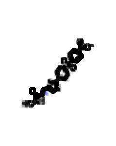 O=C(/C=C/c1cnc(N2CCN(S(=O)(=O)c3ccc([N+](=O)[O-])cc3)CC2)s1)NO